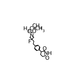 CC(C)(C)OC(=O)N1CC(F)(CCc2ccc(C3CCC(=O)NC3=O)cc2)C1